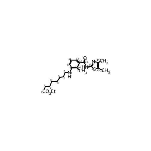 CCOC(=O)CCCCCCCNc1cccc(C(=O)Nc2nc(C)c(C)s2)c1C